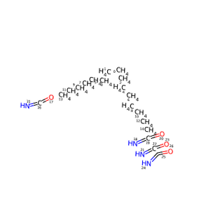 C.C.C.C.C.C.C.C.C.C.C.C.C.C.C.N=C=O.N=C=O.N=C=O.N=C=O